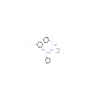 CO[C@H]1C[C@@H](C(=O)NCc2c(C)cc(Cl)cc2Cl)N(C(=O)[C@@H](O)[C@H](Cc2ccccc2)NC(=O)c2cccc(O)c2C)C1